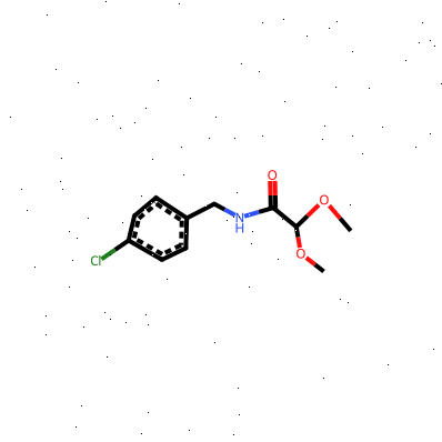 COC(OC)C(=O)NCc1ccc(Cl)cc1